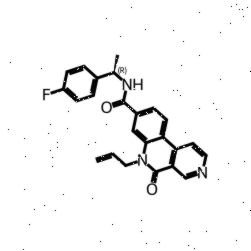 C=CCn1c(=O)c2cnccc2c2ccc(C(=O)N[C@H](C)c3ccc(F)cc3)cc21